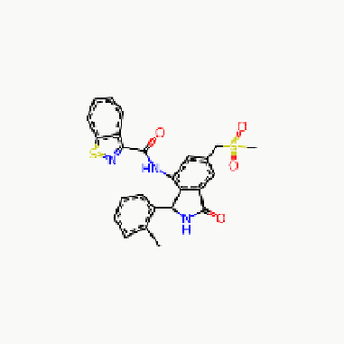 Cc1ccccc1C1NC(=O)c2cc(CS(C)(=O)=O)cc(NC(=O)c3nsc4ccccc34)c21